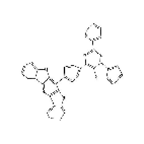 c1ccc(-c2nc(-c3ccc(-c4c5oc6ccccc6c5nc5c4sc4ccccc45)cc3)c3sc4ccccc4c3n2)cc1